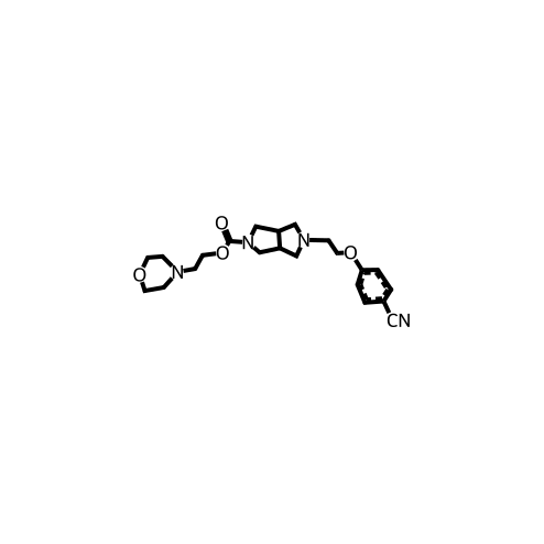 N#Cc1ccc(OCCN2CC3CN(C(=O)OCCN4CCOCC4)CC3C2)cc1